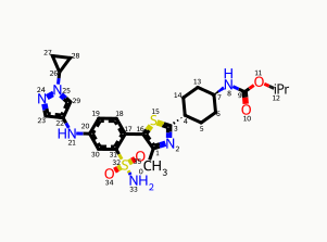 Cc1nc([C@H]2CC[C@H](NC(=O)OC(C)C)CC2)sc1-c1ccc(Nc2cnn(C3CC3)c2)cc1S(N)(=O)=O